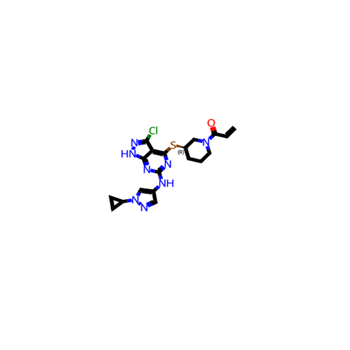 C=CC(=O)N1CCC[C@@H](Sc2nc(Nc3cnn(C4CC4)c3)nc3[nH]nc(Cl)c23)C1